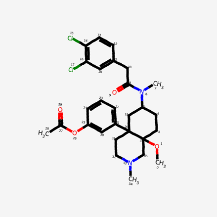 COC12CCC(N(C)C(=O)Cc3ccc(Cl)c(Cl)c3)CC1(c1cccc(OC(C)=O)c1)CCN(C)C2